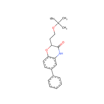 CC(C)(C)[Si](C)(C)OCCC1Oc2ccc(-c3ccccc3)cc2NC1=O